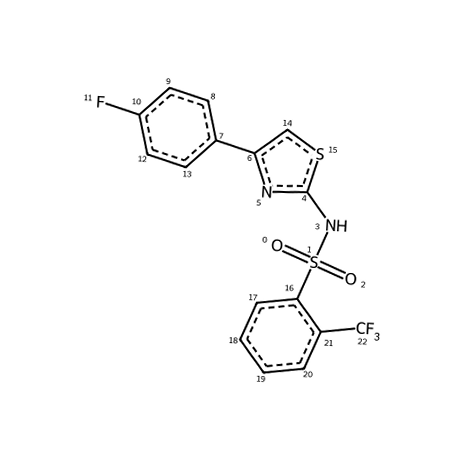 O=S(=O)(Nc1nc(-c2ccc(F)cc2)cs1)c1ccccc1C(F)(F)F